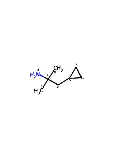 CC(C)(N)CC1[CH]C1